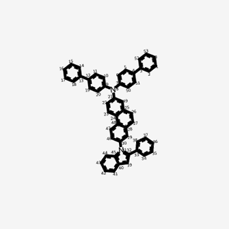 c1ccc(-c2ccc(N(c3ccc(-c4ccccc4)cc3)c3ccc4c(ccc5cc(-n6c(-c7ccccc7)cc7ccccc76)ccc54)c3)cc2)cc1